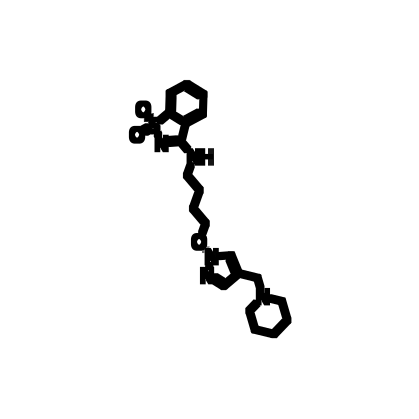 O=S1(=O)N=C(NCCCCOn2cc(CN3CCCCC3)cn2)c2ccccc21